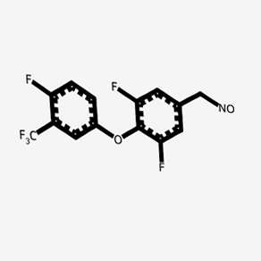 O=NCc1cc(F)c(Oc2ccc(F)c(C(F)(F)F)c2)c(F)c1